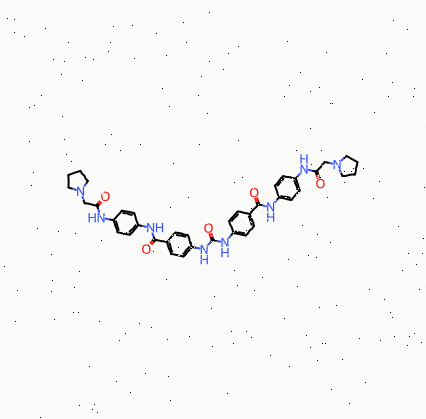 O=C(CN1CCCC1)Nc1ccc(NC(=O)c2ccc(NC(=O)Nc3ccc(C(=O)Nc4ccc(NC(=O)CN5CCCC5)cc4)cc3)cc2)cc1